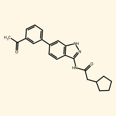 CC(=O)c1cccc(-c2ccc3c(NC(=O)CC4CCCC4)n[nH]c3c2)c1